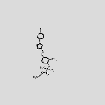 CCOC(=O)C(C)(C)Oc1ccc(SCc2nnc(-c3ccc(F)cc3)s2)cc1C